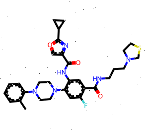 Cc1ccccc1N1CCN(c2cc(F)c(C(=O)NCCCN3CCSC3)cc2NC(=O)c2coc(C3CC3)n2)CC1